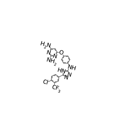 Nc1cc(Oc2ccc(Nc3nnc(-c4ccc(Cl)c(C(F)(F)F)c4)[nH]3)cc2)nc(N)n1